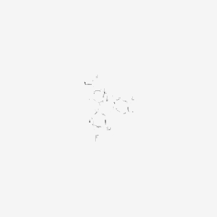 O=C(O)c1cc(-c2cnc(F)c(Cl)c2)n(-c2cccc(Cl)c2)n1